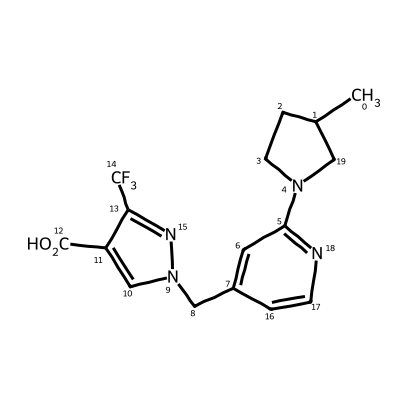 CC1CCN(c2cc(Cn3cc(C(=O)O)c(C(F)(F)F)n3)ccn2)C1